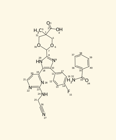 CC1(C(=O)O)COC(c2nc(-c3ccc(F)cc3)c(-c3ccnc(NCC#N)n3)[nH]2)OC1.NC(=O)c1ccccc1